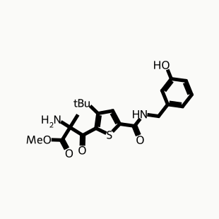 COC(=O)C(C)(N)C(=O)c1sc(C(=O)NCc2cccc(O)c2)cc1C(C)(C)C